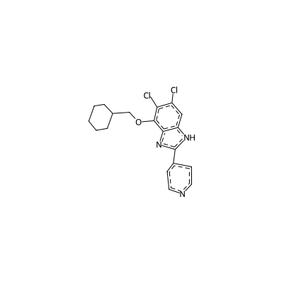 Clc1cc2[nH]c(-c3ccncc3)nc2c(OCC2CCCCC2)c1Cl